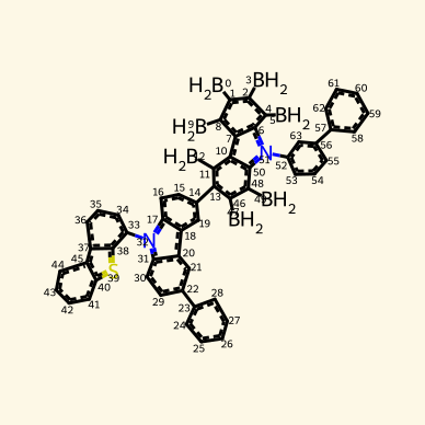 Bc1c(B)c(B)c2c(c1B)c1c(B)c(-c3ccc4c(c3)c3cc(-c5ccccc5)ccc3n4-c3cccc4c3sc3ccccc34)c(B)c(B)c1n2-c1cccc(-c2ccccc2)c1